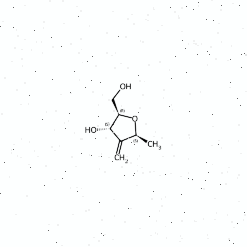 C=C1[C@H](C)O[C@H](CO)[C@H]1O